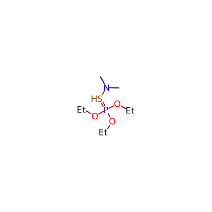 CCOP(OCC)(OCC)=[SH]N(C)C